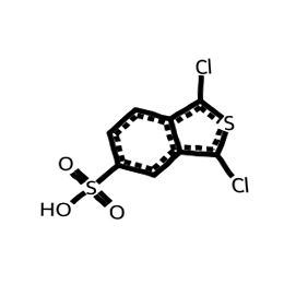 O=S(=O)(O)c1ccc2c(Cl)sc(Cl)c2c1